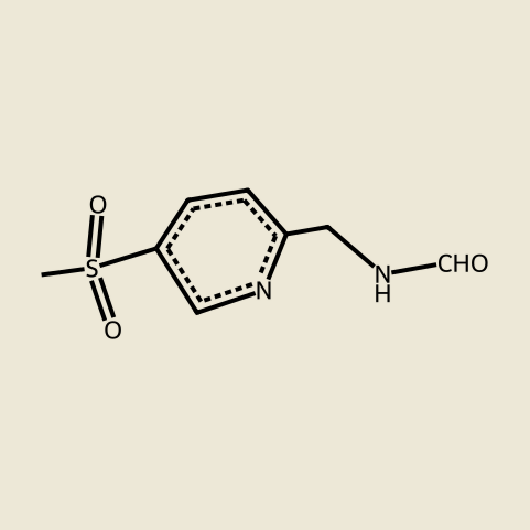 CS(=O)(=O)c1ccc(CNC=O)nc1